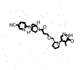 Cc1c(N2CCC[C@H]2COCCC(=O)N2C[C@@H]3C[C@H]2CN3c2ccc(C#N)cn2)cn[nH]c1=O